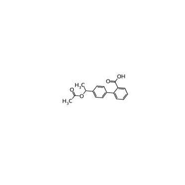 CC(=O)OC(C)c1ccc(-c2ccccc2C(=O)O)cc1